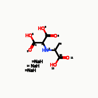 CC(NC(C(=O)O)C(=O)O)C(=O)O.[NaH].[NaH].[NaH]